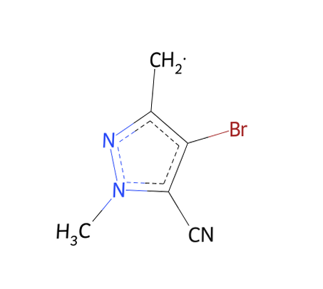 [CH2]c1nn(C)c(C#N)c1Br